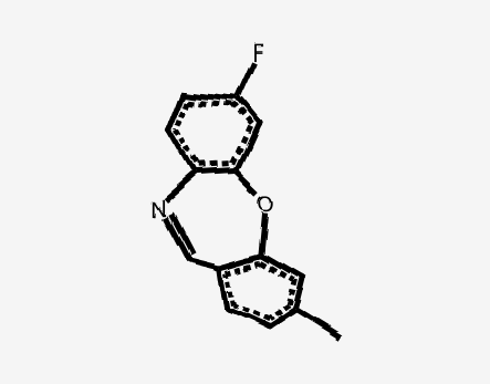 Cc1ccc2c(c1)Oc1cc(F)ccc1N=C2